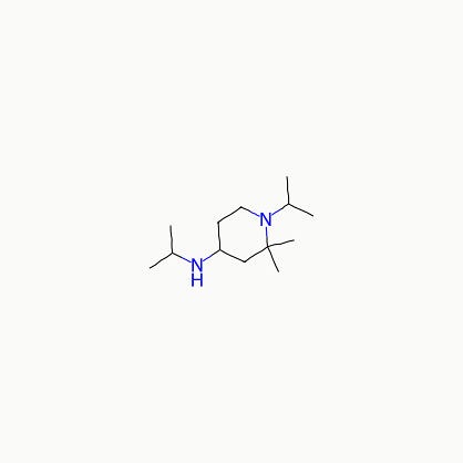 CC(C)NC1CCN(C(C)C)C(C)(C)C1